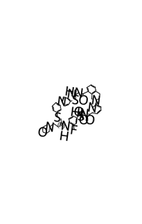 O=C(NS(=O)(=O)c1ccc(N[C@H](CCN2CCOCC2)CSc2ccccc2)c(F)c1)c1cccc(N2CCc3cccc(C(=O)Nc4nc5cnccc5s4)c3C2)n1